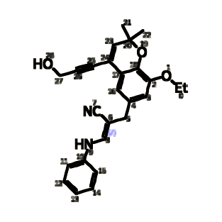 CCOc1cc(C/C(C#N)=C/Nc2ccccc2)cc2c1OC(C)(C)C=C2C#CCO